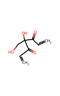 C=CC(=O)C(O)(CO)C(=O)C=C